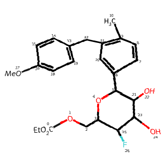 CCOC(=O)OCC1OC(c2ccc(C)c(Cc3ccc(OC)cc3)c2)C(O)C(O)C1F